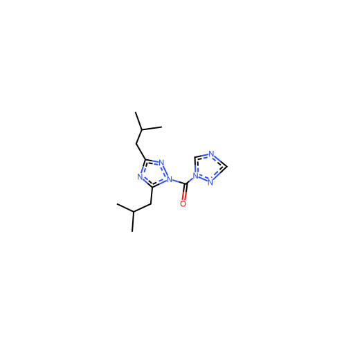 CC(C)Cc1nc(CC(C)C)n(C(=O)n2cncn2)n1